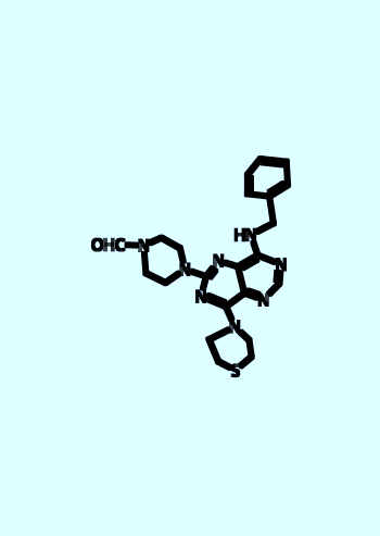 O=CN1CCN(c2nc(N3CCSCC3)c3ncnc(NCc4ccccc4)c3n2)CC1